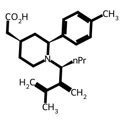 C=C(C)C(=C)[C@H](CCC)N1CC[C@@H](CC(=O)O)C[C@H]1c1ccc(C)cc1